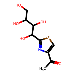 CC(=O)c1csc(C(O)C(O)C(O)CO)n1